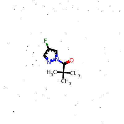 CC(C)(C)C(=O)n1cc(F)cn1